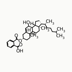 CC(C)CCC[C@@H](C)[C@H]1CC[C@H]2[C@@H]3C(O)C=C4C[C@@H](OC(=O)c5ccccc5C(=O)O)CC[C@]4(C)[C@H]3CC[C@]12C